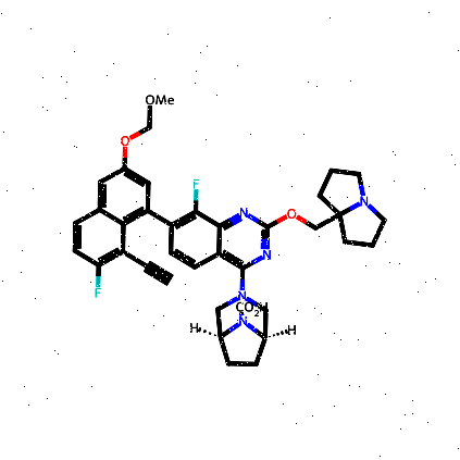 C#Cc1c(F)ccc2cc(OCOC)cc(-c3ccc4c(N5C[C@H]6CC[C@@H](C5)N6C(=O)O)nc(OCC56CCCN5CCC6)nc4c3F)c12